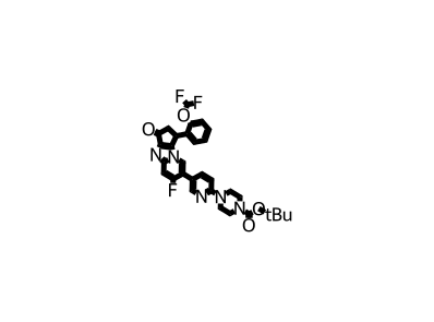 CC(C)(C)OC(=O)N1CCN(c2ccc(-c3cn4c5c(nc4cc3F)C(=O)CC5c3ccccc3OC(F)F)cn2)CC1